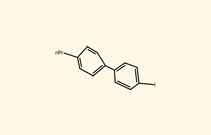 CCCc1[c]cc(-c2ccc(I)cc2)cc1